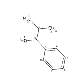 C[C](C)C(O)c1ccccc1